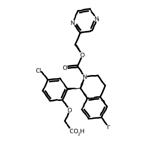 O=C(O)COc1ccc(Cl)cc1[C@@H]1c2ccc(F)cc2CCN1C(=O)OCc1cnccn1